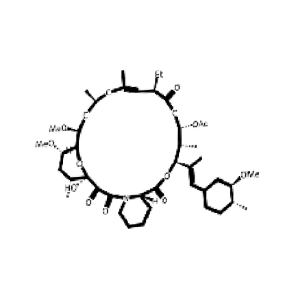 CC[C@@H]1/C=C(\C)C[C@H](C)C[C@H](OC)[C@H]2O[C@@](O)(C(=O)C(=O)N3CCCC[C@H]3C(=O)O[C@H](/C(C)=C/C3CC[C@@H](C)[C@H](OC)C3)[C@@H](C)[C@@H](OC(C)=O)CC1=O)[C@H](C)C[C@@H]2OC